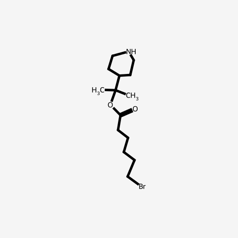 CC(C)(OC(=O)CCCCCBr)C1CCNCC1